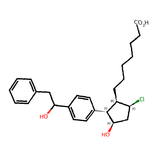 O=C(O)CCCCCC[C@@H]1[C@@H](c2ccc(C(O)Cc3ccccc3)cc2)[C@H](O)C[C@@H]1Cl